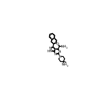 CC1(N)CCN(c2nc(C(N)=O)c3c(-c4ccc5ccccc5c4)n[nH]c3n2)CC1